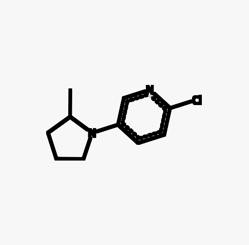 CC1CCCN1c1ccc(Cl)nc1